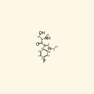 CCn1cc(C(=O)C(CO)NC)c2ccc(F)cc21